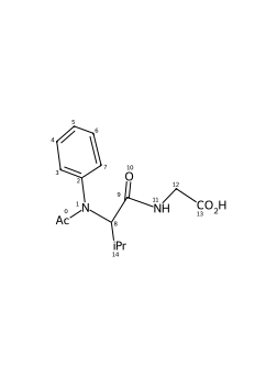 CC(=O)N(c1ccccc1)C(C(=O)NCC(=O)O)C(C)C